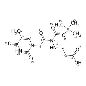 Cc1cn(CC(=O)N(NCCC(=O)O)C(=O)OC(C)(C)C)c(=O)[nH]c1=O